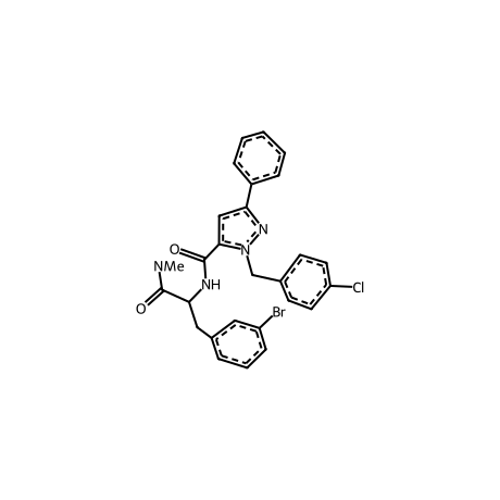 CNC(=O)C(Cc1cccc(Br)c1)NC(=O)c1cc(-c2ccccc2)nn1Cc1ccc(Cl)cc1